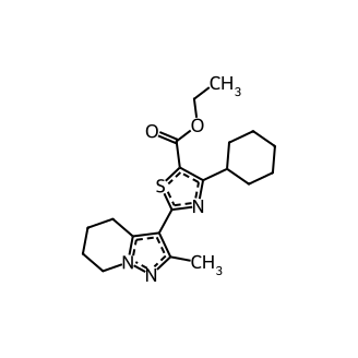 CCOC(=O)c1sc(-c2c(C)nn3c2CCCC3)nc1C1CCCCC1